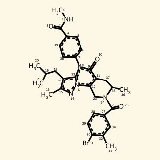 CNC(=O)c1ccc(-n2c(=O)c3c(n4nc(C)c(CC(C)C)c24)CN(C(=O)c2ccc(Br)c(C)c2)[C@H](C)C3)cc1